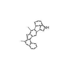 Cc1c2c(cc3c1sc1c(C)cc4ccccc4c13)-c1c[nH]c3cccc-2c13